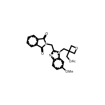 COc1ccc2nc(CN3C(=O)c4ccccc4C3=O)n(CC3(COC(C)=O)COC3)c2c1